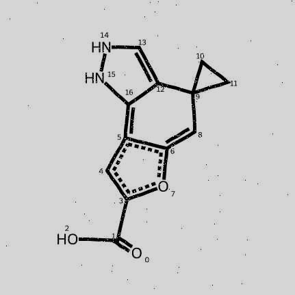 O=C(O)c1cc2c(o1)=CC1(CC1)C1=CNNC=21